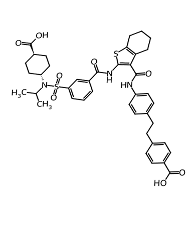 CC(C)N([C@H]1CC[C@H](C(=O)O)CC1)S(=O)(=O)c1cccc(C(=O)Nc2sc3c(c2C(=O)Nc2ccc(CCc4ccc(C(=O)O)cc4)cc2)CCCC3)c1